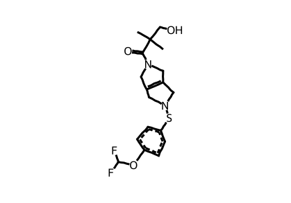 CC(C)(CO)C(=O)N1CC2=C(CN(Sc3ccc(OC(F)F)cc3)C2)C1